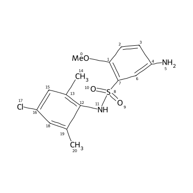 COc1ccc(N)cc1S(=O)(=O)Nc1c(C)cc(Cl)cc1C